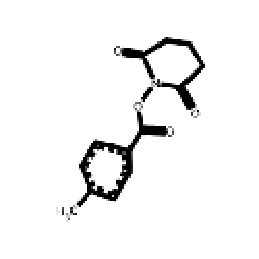 Cc1ccc(C(=O)ON2C(=O)CCCC2=O)cc1